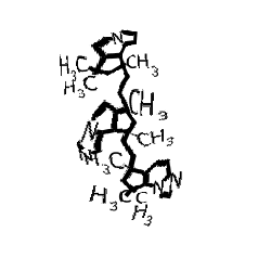 CC1(C)C[C@@](C)(CC[C@]2(C)C[C@@](C)(CC[C@]3(C)CC(C)(C)c4c3ccc3nccn43)c3c2ccn2cncc32)c2c1ccn1cccc21